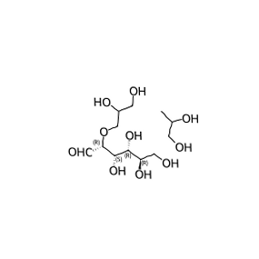 CC(O)CO.O=C[C@H](OCC(O)CO)[C@@H](O)[C@H](O)[C@H](O)CO